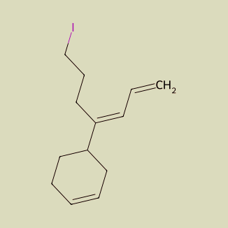 C=C/C=C(\CCCI)C1CC=CCC1